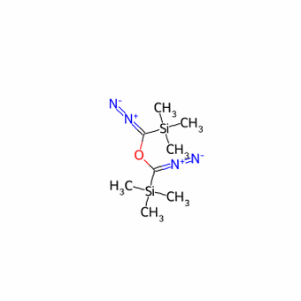 C[Si](C)(C)C(=[N+]=[N-])OC(=[N+]=[N-])[Si](C)(C)C